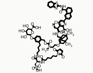 C/N=C\C(=C(\C)NCC12CC3(C)CC(C)(C1)CC(OCCN(C)C(=O)OCc1ccc(O[C@@H]4O[C@H](C(=O)O)[C@@H](O)[C@H](O)[C@H]4O)cc1CCCCNC(=O)[C@H](CS(=O)(=O)O)NC(=O)CCCCCN1C(=O)C=CC1=O)(C3)C2)c1ccc(-c2ccc3cccc(C(=O)Nc4nc5ccccc5s4)c3c2)nc1C(=O)O